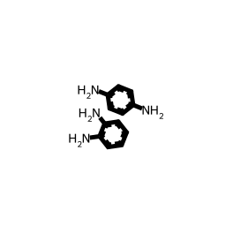 Nc1ccc(N)cc1.Nc1ccccc1N